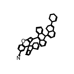 N#Cc1ccc2c(c1)C1(C3=C(C=CCC3)c3ccccc31)c1cc(C3=C4C=CC=CC4C(C4=CC=CC5C=C(C6C=CCCC6)CCC45)c4ccccc43)ccc1O2